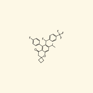 CC(C)c1cc2c(c(-c3ccc(F)cc3)c1C(F)c1ccc(C(F)(F)F)cc1)C(=O)CC1(CCC1)O2